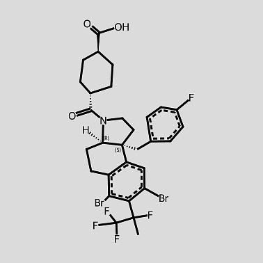 CC(F)(c1c(Br)cc2c(c1Br)CC[C@H]1N(C(=O)[C@H]3CC[C@H](C(=O)O)CC3)CC[C@@]21Cc1ccc(F)cc1)C(F)(F)F